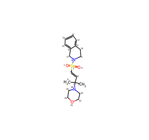 CC(C)(/C=C/S(=O)(=O)N1CCc2ccccc2C1)N1CCOCC1